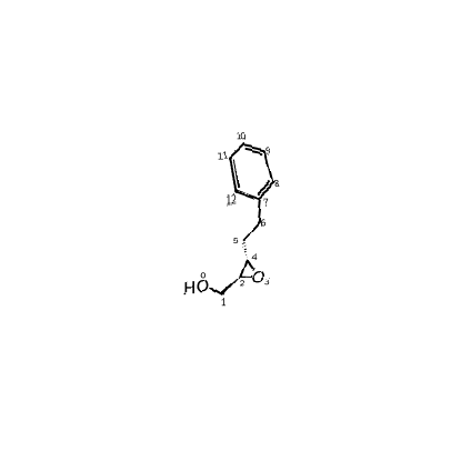 OC[C@@H]1O[C@H]1CCc1ccccc1